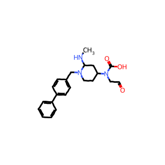 CNC1CC(N(CC=O)C(=O)O)CCN1Cc1ccc(-c2ccccc2)cc1